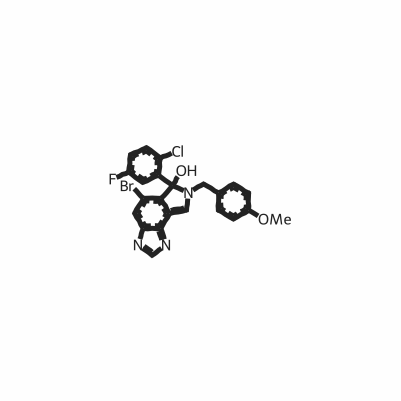 COc1ccc(CN2C=c3c(c(Br)cc4c3=NC=N4)C2(O)c2cc(F)ccc2Cl)cc1